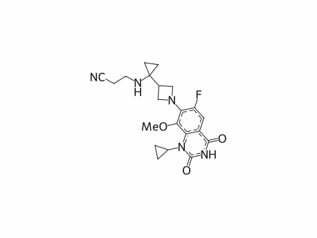 COc1c(N2CC(C3(NCCC#N)CC3)C2)c(F)cc2c(=O)[nH]c(=O)n(C3CC3)c12